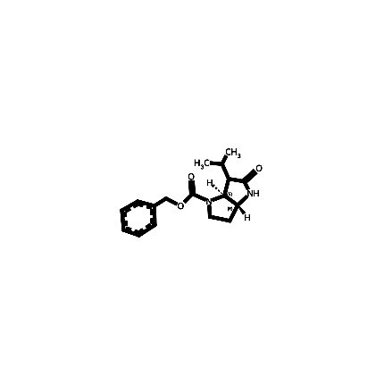 CC(C)C1C(=O)N[C@@H]2CCN(C(=O)OCc3ccccc3)[C@@H]12